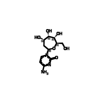 Nc1ccn([C@H]2C[C@H](O)[C@H](O)[C@H](O)[C@@H](CO)O2)c(=O)n1